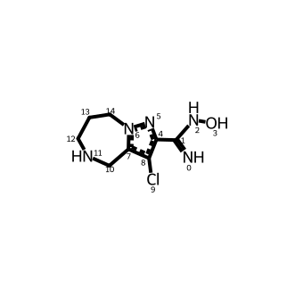 N=C(NO)c1nn2c(c1Cl)CNCCC2